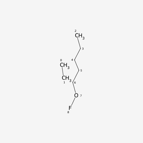 CC.CCCCCOF